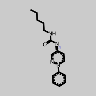 CCCCCNC(=O)/N=c1/ccn(-c2ccccc2)nc1